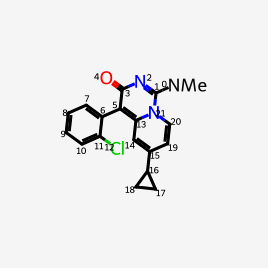 CNc1nc(=O)c(-c2ccccc2Cl)c2cc(C3CC3)ccn12